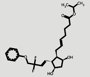 CC(C)OC(=O)CCC/C=C/C[C@@H]1[C@@H](/C=C/C(F)(F)COc2ccccc2)[C@H](O)C[C@@H]1O